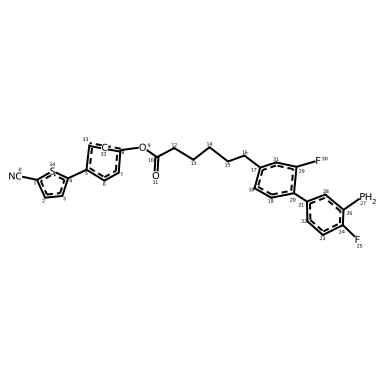 N#Cc1ccc(-c2ccc(OC(=O)CCCCCc3ccc(-c4ccc(F)c(P)c4)c(F)c3)cc2)s1